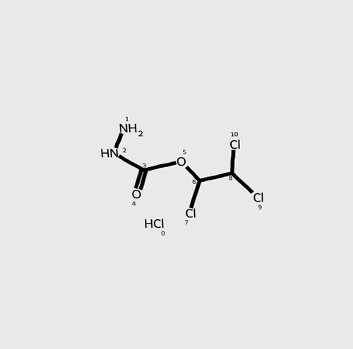 Cl.NNC(=O)OC(Cl)C(Cl)Cl